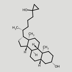 C[C@H](CCCC1(O)CC1)[C@H]1CC[C@H]2[C@@H]3CC[C@H]4C[C@@H](O)CC[C@]4(C)[C@H]3CC[C@]12C